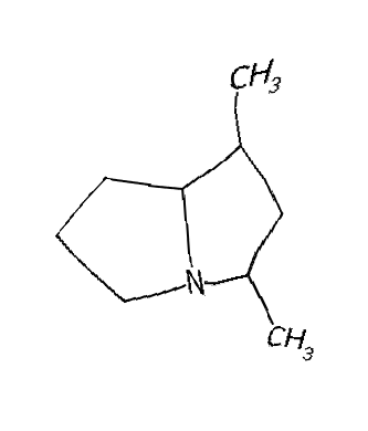 CC1CC(C)N2CCCC12